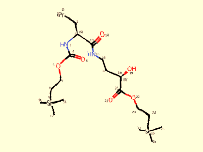 CC(C)C[C@H](NC(=O)OCC[Si](C)(C)C)C(=O)NCC[C@@H](O)C(=O)OCC[Si](C)(C)C